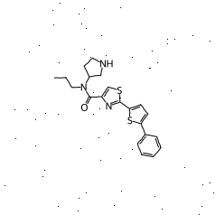 CCCN(C(=O)c1csc(-c2ccc(-c3ccccc3)s2)n1)C1CCNC1